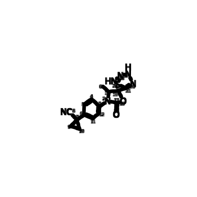 CC1N(c2ccc(C3(C#N)CC3)cc2)C(=O)O[C@@]12NN1NN=C2S1